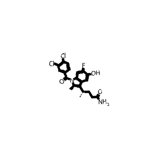 Cc1c([C@@H](C)CCC(N)=O)c2cc(O)c(F)cc2n1C(=O)c1ccc(Cl)c(Cl)c1